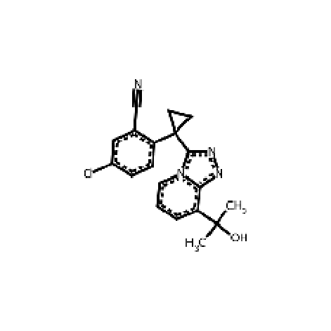 CC(C)(O)c1cccn2c(C3(c4ccc(Cl)cc4C#N)CC3)nnc12